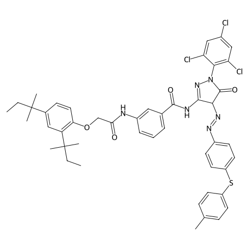 CCC(C)(C)c1ccc(OCC(=O)Nc2cccc(C(=O)NC3=NN(c4c(Cl)cc(Cl)cc4Cl)C(=O)C3N=Nc3ccc(Sc4ccc(C)cc4)cc3)c2)c(C(C)(C)CC)c1